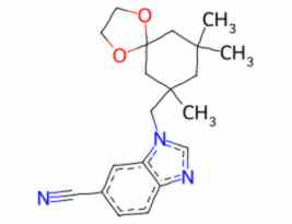 CC1(C)CC(C)(Cn2cnc3ccc(C#N)cc32)CC2(C1)OCCO2